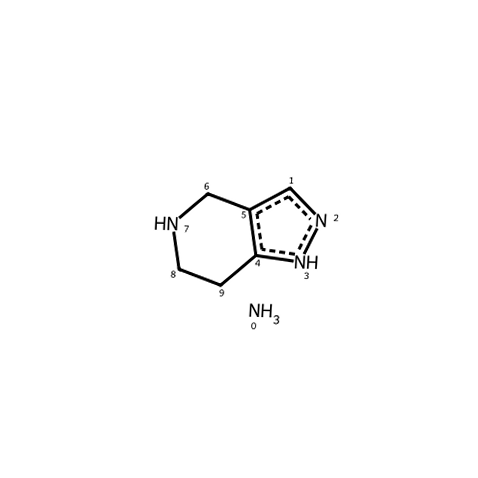 N.c1n[nH]c2c1CNCC2